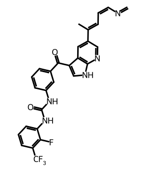 C=N/C=C\C=C(/C)c1cnc2[nH]cc(C(=O)c3cccc(NC(=O)Nc4cccc(C(F)(F)F)c4F)c3)c2c1